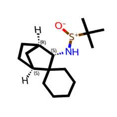 CC(C)(C)[S+]([O-])N[C@H]1[C@@H]2CC[C@@H](C2)C12CCCCC2